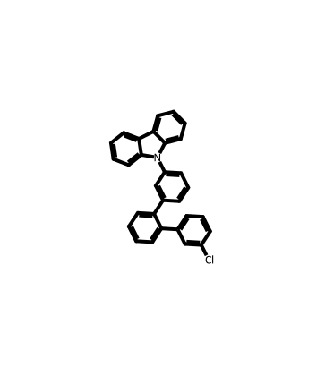 Clc1cccc(-c2ccccc2-c2cccc(-n3c4ccccc4c4ccccc43)c2)c1